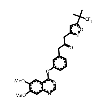 COc1cc2ncnc(Oc3cccc(CC(=O)Cc4cc(C(C)(C)C(F)(F)F)on4)c3)c2cc1OC